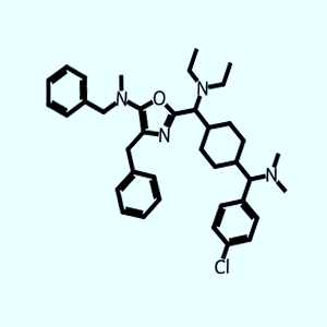 CCN(CC)C(c1nc(Cc2ccccc2)c(N(C)Cc2ccccc2)o1)C1CCC(C(c2ccc(Cl)cc2)N(C)C)CC1